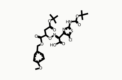 COc1ccc(COC(=O)C(CC(=O)OC(C)(C)C)ON=C(C(=O)O)c2nc(NC(=O)OC(C)(C)C)sc2Cl)cc1